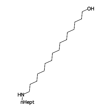 CCCCCCCNCCCCCCCCCCCCCCCCO